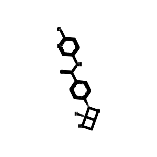 O=C(Nc1ccc(Cl)nc1)c1ccc([C@@H]2OC3CN[C@H]32)cc1